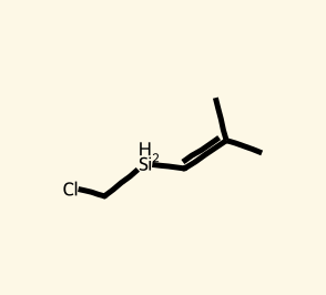 CC(C)=C[SiH2]CCl